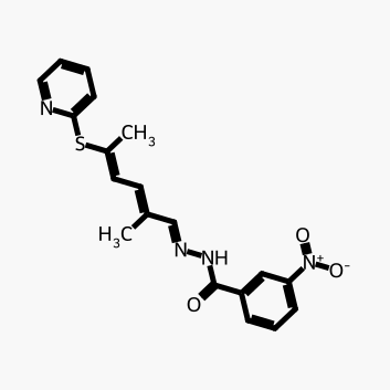 CC(/C=N/NC(=O)c1cccc([N+](=O)[O-])c1)=C\C=C(/C)Sc1ccccn1